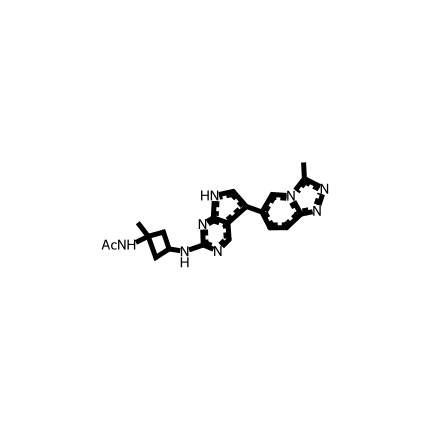 CC(=O)NC1(C)CC(Nc2ncc3c(-c4ccc5nnc(C)n5c4)c[nH]c3n2)C1